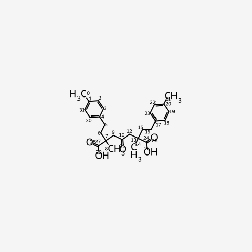 Cc1ccc(CCC(C)(CC(=O)CC(C)(CCc2ccc(C)cc2)C(=O)O)C(=O)O)cc1